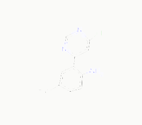 Nc1ccc(C(F)(F)F)cc1-c1cc(Cl)ncn1